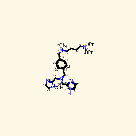 CCCN(CCC)CCCCN(C#N)Cc1ccc(CN(CC2=NCCN2C)Cc2ncc[nH]2)cc1